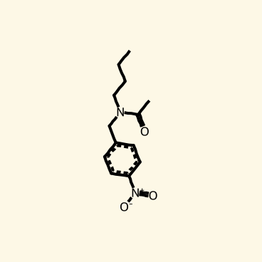 CCCCN(Cc1ccc([N+](=O)[O-])cc1)C(C)=O